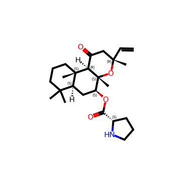 C=C[C@@]1(C)CC(=O)[C@@H]2[C@@]3(C)CCCC(C)(C)[C@@H]3C[C@H](OC(=O)[C@@H]3CCCN3)[C@@]2(C)O1